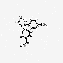 FC(F)(F)c1ccc(C2(c3ccc(CBr)cc3)OCCO2)cc1